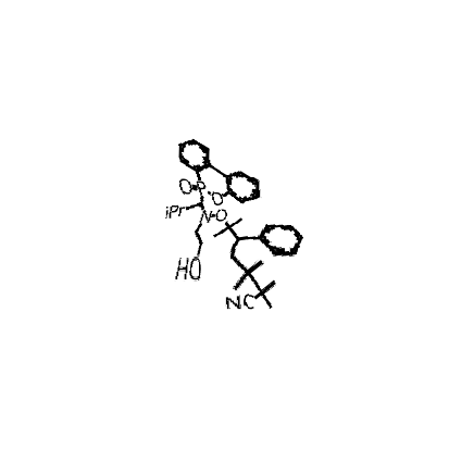 CC(C)C(N(CCO)OC(C)(C)C(CC(C)(C)C(C)(C)C#N)c1ccccc1)P1(=O)Oc2ccccc2-c2ccccc21